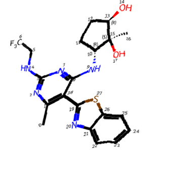 Cc1nc(NCC(F)(F)F)nc(N[C@@H]2CC[C@@H](O)[C@@]2(C)O)c1-c1nc2ccccc2s1